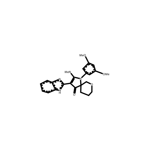 CNC1=C(c2nc3ccccc3[nH]2)C(=O)C2(CCCOC2)N1c1cc(OC)cc(OC)c1